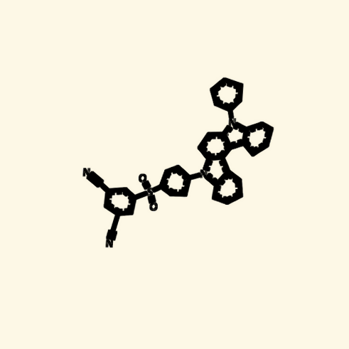 N#Cc1cc(C#N)cc(S(=O)(=O)c2ccc(-n3c4ccccc4c4c5c6ccccc6n(-c6ccccc6)c5ccc43)cc2)c1